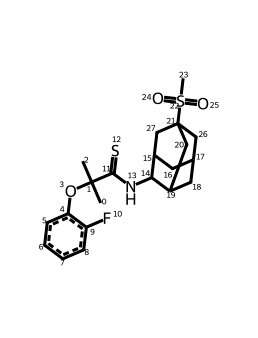 CC(C)(Oc1ccccc1F)C(=S)NC1C2CC3CC1CC(S(C)(=O)=O)(C3)C2